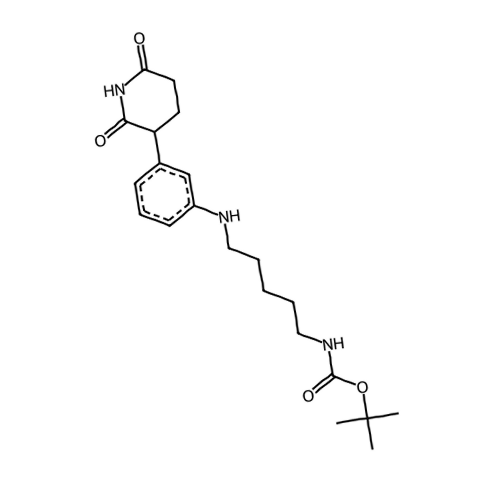 CC(C)(C)OC(=O)NCCCCCNc1cccc(C2CCC(=O)NC2=O)c1